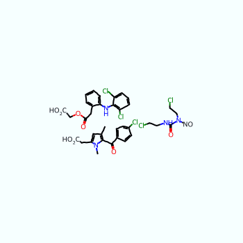 Cc1cc(CC(=O)O)n(C)c1C(=O)c1ccc(Cl)cc1.O=C(O)COC(=O)Cc1ccccc1Nc1c(Cl)cccc1Cl.O=NN(CCCl)C(=O)NCCCl